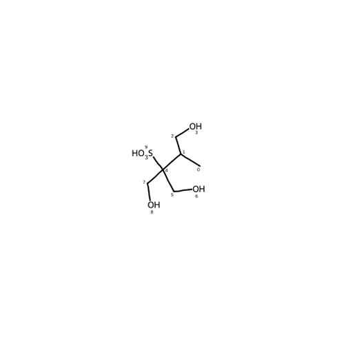 CC(CO)C(CO)(CO)S(=O)(=O)O